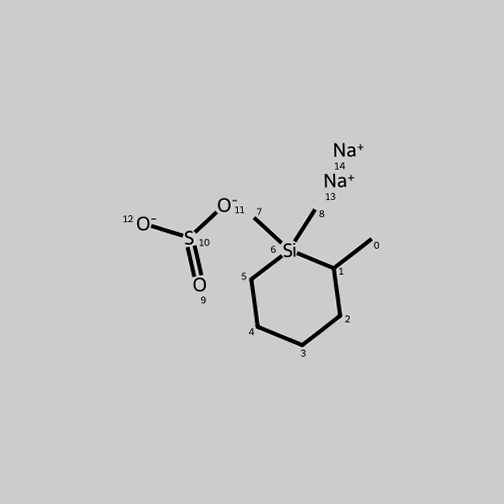 CC1CCCC[Si]1(C)C.O=S([O-])[O-].[Na+].[Na+]